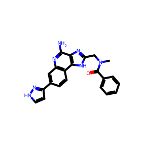 CN(Cc1nc2c(N)nc3cc(-c4cc[nH]n4)ccc3c2[nH]1)C(=O)c1ccccc1